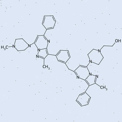 Cc1nn2c(N3CCN(CCO)CC3)cc(Cc3cccc(-c4c(C)nn5c(N6CCN(C)CC6)cc(-c6ccccc6)nc45)c3)nc2c1-c1ccccc1